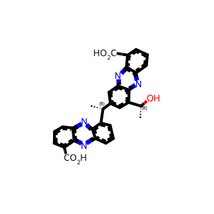 C[C@H](c1cc([C@@H](C)O)c2nc3cccc(C(=O)O)c3nc2c1)c1cccc2nc3c(C(=O)O)cccc3nc12